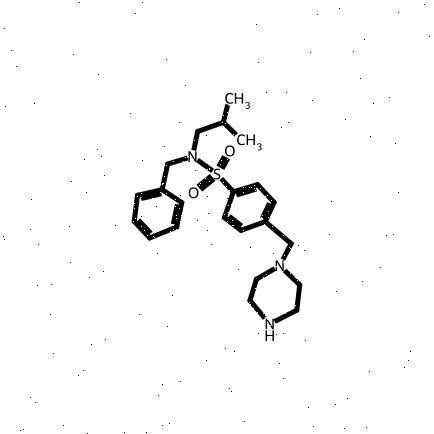 CC(C)CN(Cc1ccccc1)S(=O)(=O)c1ccc(CN2CCNCC2)cc1